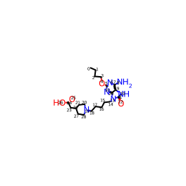 CCCCOc1nc(N)c2[nH]c(=O)n(CCCCCN3CCC(CC(=O)O)CC3)c2n1